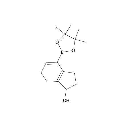 CC1(C)OB(C2=CCCC3=C2CCC3O)OC1(C)C